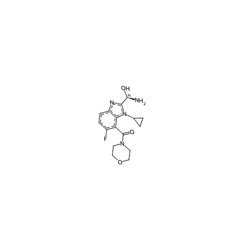 N[C@H](O)c1nc2ccc(F)c(C(=O)N3CCOCC3)c2n1C1CC1